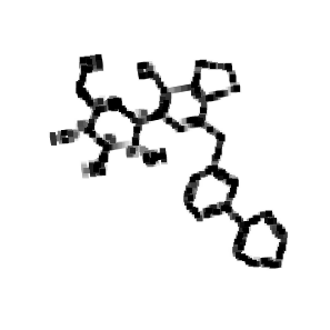 CCc1c([C@@H]2O[C@H](CO)[C@@H](O)[C@H](O)[C@H]2O)cc(Cc2cccc(-c3ccccc3)c2)c2c1CCC2